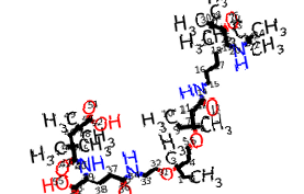 CCC(C)(CCOC(C)(CC)CC(=O)NCCCC[C@@H](NC(C)(C)C)C(=O)C(C)(C)C)OCCNC(=O)CC[C@H](NC(=O)C(C)(C)CC(C)(C)C(=O)O)C(=O)O